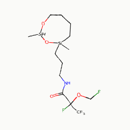 C[SiH]1OCCCC[Si](C)(CCCNC(=O)C(F)(OCF)C(F)(F)F)O1